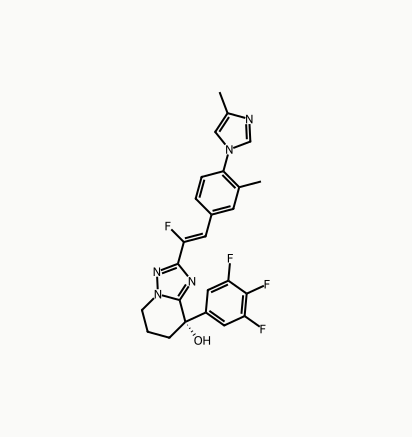 Cc1cn(-c2ccc(/C=C(\F)c3nc4n(n3)CCC[C@]4(O)c3cc(F)c(F)c(F)c3)cc2C)cn1